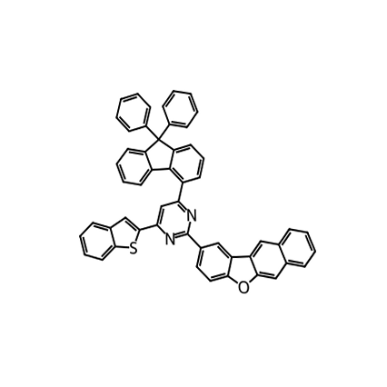 c1ccc(C2(c3ccccc3)c3ccccc3-c3c(-c4cc(-c5cc6ccccc6s5)nc(-c5ccc6oc7cc8ccccc8cc7c6c5)n4)cccc32)cc1